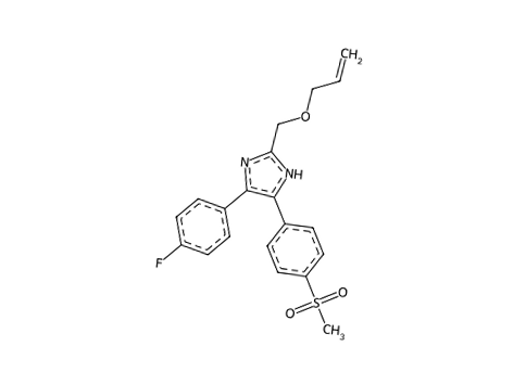 C=CCOCc1nc(-c2ccc(F)cc2)c(-c2ccc(S(C)(=O)=O)cc2)[nH]1